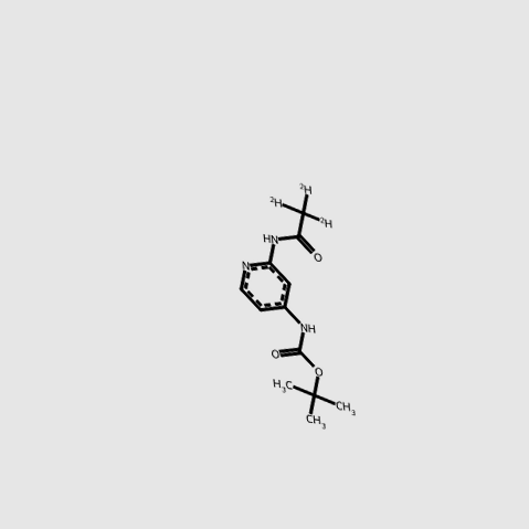 [2H]C([2H])([2H])C(=O)Nc1cc(NC(=O)OC(C)(C)C)ccn1